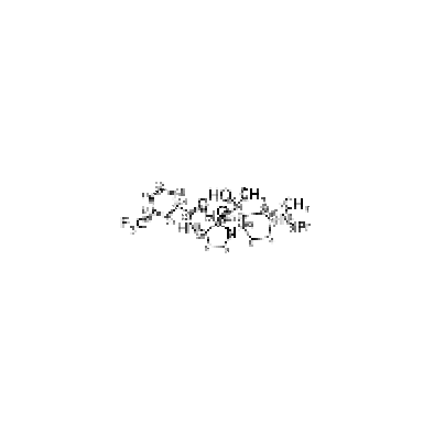 CC(C)N(C)[C@@H]1CC[C@H](N2CCC(NC(=O)c3cccc(C(F)(F)F)c3)C2=O)[C@H](C(C)(C)O)C1